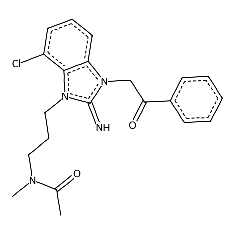 CC(=O)N(C)CCCn1c(=N)n(CC(=O)c2ccccc2)c2cccc(Cl)c21